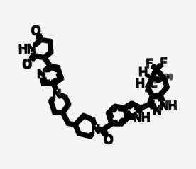 C[C@@]12Cc3[nH]nc(-c4cc5ccc(C(=O)N6CCC(CC7CCN(c8ccc(C9CCC(=O)NC9=O)nc8)CC7)CC6)cc5[nH]4)c3C[C@@H]1C2(F)F